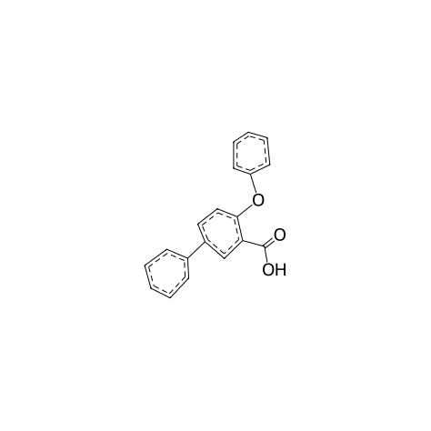 O=C(O)c1cc(-c2ccccc2)ccc1Oc1ccccc1